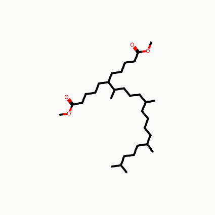 COC(=O)CCCCC(CCCCC(=O)OC)C(C)CCCC(C)CCCCC(C)CCCC(C)C